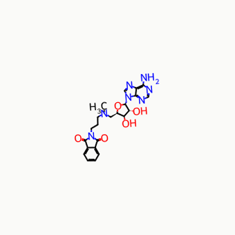 CN(CCCN1C(=O)c2ccccc2C1=O)C[C@H]1O[C@@H](n2cnc3c(N)ncnc32)[C@H](O)[C@H]1O